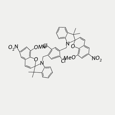 COc1cc([N+](=O)[O-])cc2c1OC1(C=C2)N(Cc2cc(Cl)c(CN3c4ccccc4C(C)(C)C34C=Cc3cc([N+](=O)[O-])cc(OC)c3O4)cc2Cl)c2ccccc2C1(C)C